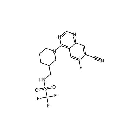 N#Cc1cc2ncnc(N3CCCC(CNS(=O)(=O)C(F)(F)F)C3)c2cc1F